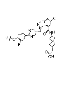 COc1ccc(-c2ncc(Cn3ncc4cc(Cl)cc(C(=O)NC5CC6(CC(CC(=O)O)C6)C5)c43)cn2)cc1F